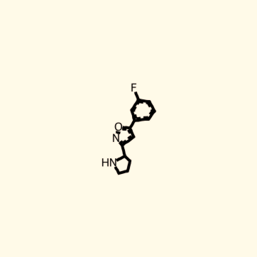 Fc1cccc(-c2cc(C3CCCN3)no2)c1